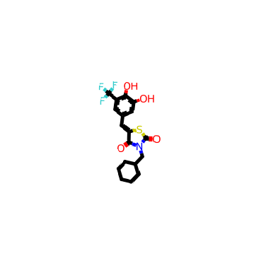 O=C1S/C(=C\c2cc(O)c(O)c(C(F)(F)F)c2)C(=O)N1CC1CCCCC1